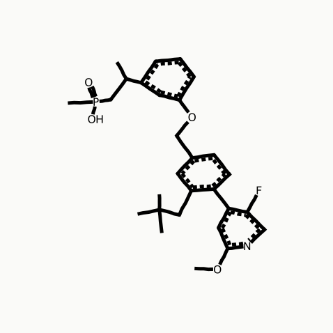 COc1cc(-c2ccc(COc3cccc(C(C)CP(C)(=O)O)c3)cc2CC(C)(C)C)c(F)cn1